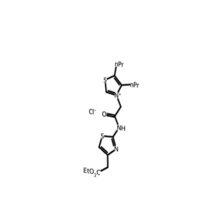 CCCc1sc[n+](CC(=O)Nc2nc(CC(=O)OCC)cs2)c1CCC.[Cl-]